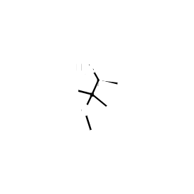 COC(C)(C)[C@H](C)N